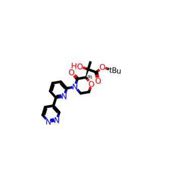 CC(C)(C)OC(=O)C(C)(O)[C@H]1OCCN(c2cccc(-c3ccnnc3)n2)C1=O